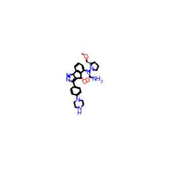 COC[C@H]1CCCN1N(C(N)=O)c1cccc2c1C(=O)C1=C(c3ccc(N4CCNCC4)cc3)N=NC12